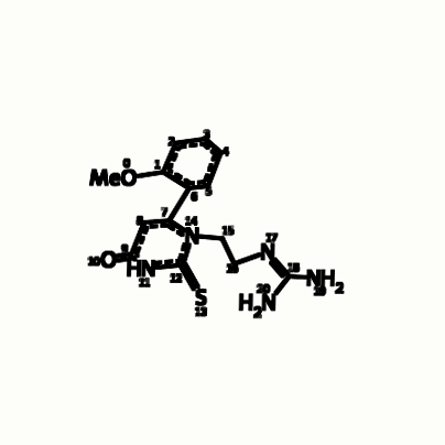 COc1ccccc1-c1cc(=O)[nH]c(=S)n1CCN=C(N)N